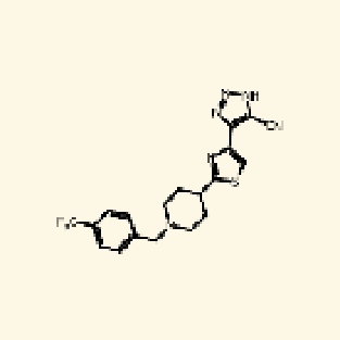 N#Cc1[nH]nnc1-c1csc(C2CCN(Cc3ccc(C(F)(F)F)cc3)CC2)n1